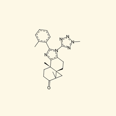 Cc1ccccc1-c1nc2c(n1-c1nnn(C)n1)CC[C@@]13CC1(C)C(=O)CC[C@]23C